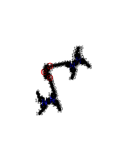 CCCCc1ccc(N(c2ccc(CCCC)cc2)c2ccc(N(c3ccc(CCCC)cc3)c3ccc(CCCCCCCCOc4cc5c(cc4C)oc4cc(C)c(OCCCCCCCCc6ccc(N(c7ccc(CCCC)cc7)c7ccc(N(c8ccc(CCCC)cc8)c8ccc(CCCC)cc8)cc7)cc6)cc45)cc3)cc2)cc1